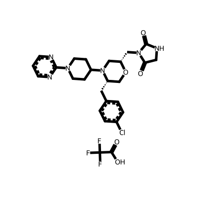 O=C(O)C(F)(F)F.O=C1CNC(=O)N1C[C@H]1CN(C2CCN(c3ncccn3)CC2)[C@@H](Cc2ccc(Cl)cc2)CO1